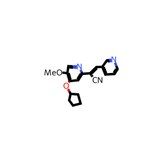 COc1cnc(/C(C#N)=C/c2cccnc2)cc1OC1CCCC1